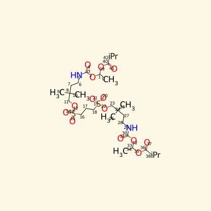 CC(OC(=O)NCCC(C)(C)COS(=O)(=O)CCCS(=O)(=O)OCC(C)(C)CCNC(=O)OC(C)OC(=O)C(C)C)OC(=O)C(C)C